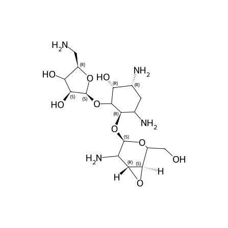 NC[C@H]1O[C@@H](OC2[C@H](O[C@H]3OC(CO)[C@H]4O[C@@H]4C3N)C(N)C[C@@H](N)[C@H]2O)[C@@H](O)C1O